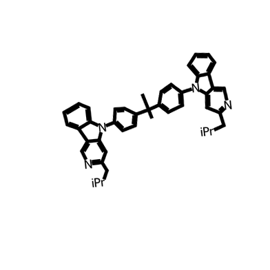 CC(C)Cc1cc2c(cn1)c1ccccc1n2-c1ccc(C(C)(C)c2ccc(-n3c4ccccc4c4cnc(CC(C)C)cc43)cc2)cc1